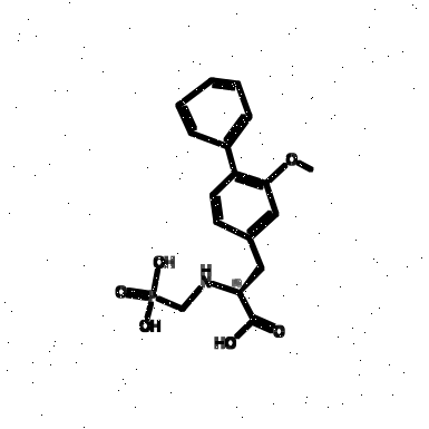 COc1cc(C[C@H](NCP(=O)(O)O)C(=O)O)ccc1-c1ccccc1